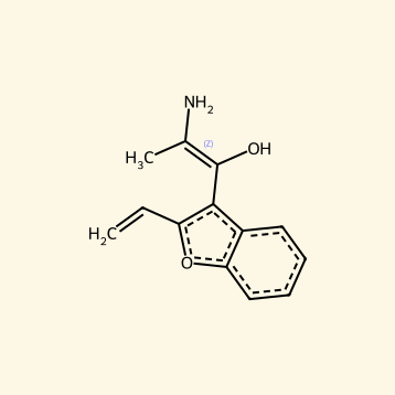 C=Cc1oc2ccccc2c1/C(O)=C(\C)N